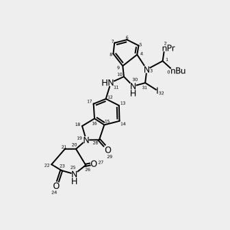 CCCCC(CCC)N1c2ccccc2C(Nc2ccc3c(c2)CN(C2CCC(=O)NC2=O)C3=O)NC1I